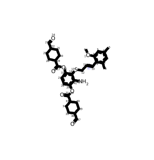 COc1cc(C)cc(C)c1/C=C/CSc1c(OC(=O)C2CCC(C=O)CC2)ccc(OC(=O)C2CCC(C=O)CC2)c1N